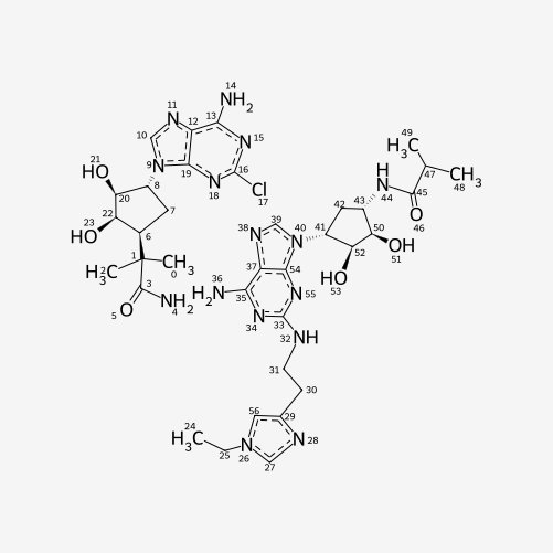 CC(C)(C(N)=O)[C@@H]1C[C@@H](n2cnc3c(N)nc(Cl)nc32)[C@H](O)[C@@H]1O.CCn1cnc(CCNc2nc(N)c3ncn([C@@H]4C[C@H](NC(=O)C(C)C)[C@@H](O)[C@H]4O)c3n2)c1